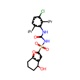 CC(C)c1ccc(Cl)c(C(C)C)c1NC(=O)NS(=O)(=O)c1cc2c(o1)CCCC2O